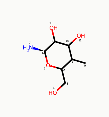 CC1C(CO)O[C@@H](N)C(O)C1O